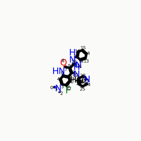 CN(C)c1cc2[nH]c(=O)c(-c3nc4ccccc4[nH]3)c(N[C@@H]3CN4CCC3CC4)c2cc1F